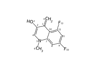 C=C1C(O)=CN(C)c2cc(F)cc(F)c21